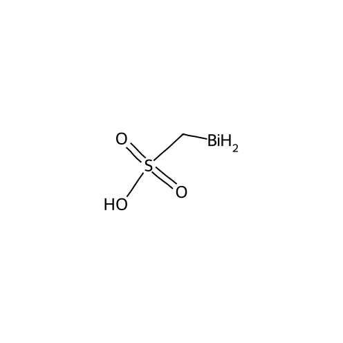 O=S(=O)(O)[CH2][BiH2]